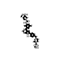 Cc1c(NC(=O)N2C[C@H](CC(C)C)[C@@H](O)C2)cc(F)cc1-c1ncnc2[nH]c(-c3ccc(CN4CCN(C(=O)OC(C)(C)C)CC4)cc3)cc12